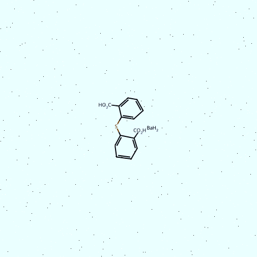 O=C(O)c1ccccc1Sc1ccccc1C(=O)O.[BaH2]